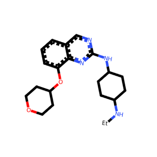 CCNC1CCC(Nc2ncc3cccc(OC4CCOCC4)c3n2)CC1